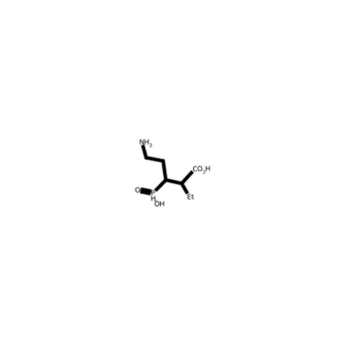 CCC(C(=O)O)C(CCN)[PH](=O)O